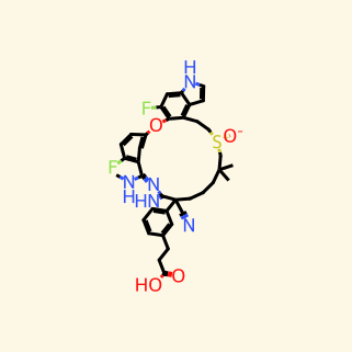 CN/C1=N\C(=N)C(C#N)(c2cccc(CCC(=O)O)c2)CCCC(C)(C)C[S+]([O-])CCc2c(c(F)cc3[nH]ccc23)Oc2ccc(F)c1c2